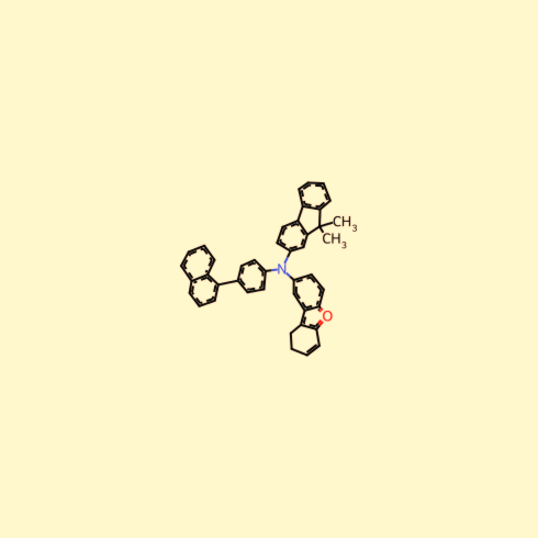 CC1(C)c2ccccc2-c2ccc(N(c3ccc(-c4cccc5ccccc45)cc3)c3ccc4oc5c(c4c3)CCC=C5)cc21